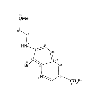 CCOC(=O)c1cnc2c(Br)c(NCCOC)ccc2c1